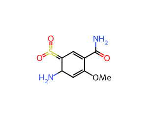 COC1=CC(N)C(=S(=O)=O)C=C1C(N)=O